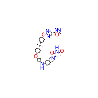 Cc1nnc(-c2cnc(Oc3ccc(C(C)(C)c4ccc(OC5CC(Nc6ccc7c(c6)CN(C6CCC(=O)NC6=O)C7)C5)cc4)cc3)nc2)o1